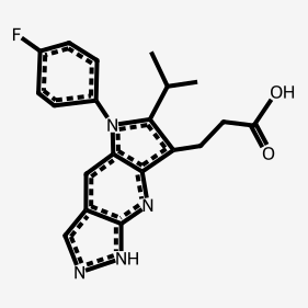 CC(C)c1c(CCC(=O)O)c2nc3[nH]ncc3cc2n1-c1ccc(F)cc1